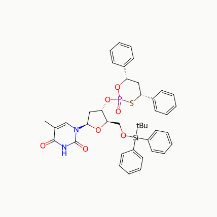 Cc1cn([C@H]2C[C@H](OP3(=O)O[C@H](c4ccccc4)C[C@H](c4ccccc4)S3)[C@@H](CO[Si](c3ccccc3)(c3ccccc3)C(C)(C)C)O2)c(=O)[nH]c1=O